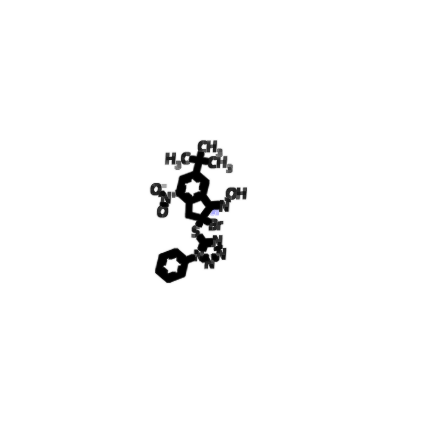 CC(C)(C)c1cc2c(c([N+](=O)[O-])c1)CC(Br)(Sc1nnnn1-c1ccccc1)/C2=N/O